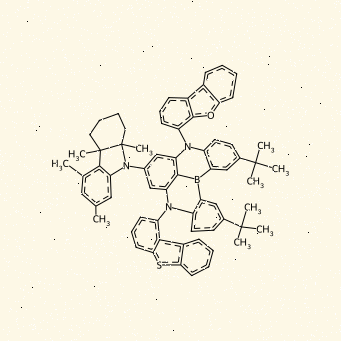 Cc1cc(C)c2c(c1)N(c1cc3c4c(c1)N(c1cccc5sc6ccccc6c15)c1ccc(C(C)(C)C)cc1B4c1cc(C(C)(C)C)ccc1N3c1cccc3c1oc1ccccc13)C1(C)CCCCC21C